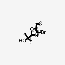 CC(C)(O)c1nc(Br)c(C=O)o1